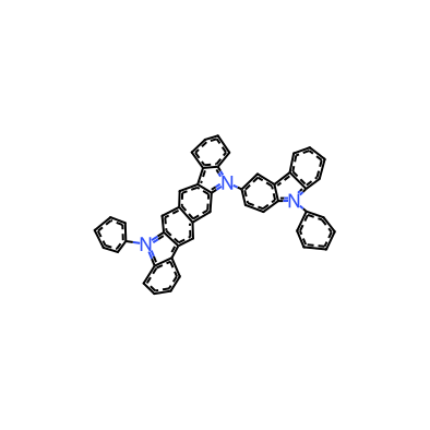 c1ccc(-n2c3ccccc3c3cc(-n4c5ccccc5c5cc6cc7c(cc6cc54)c4ccccc4n7-c4ccccc4)ccc32)cc1